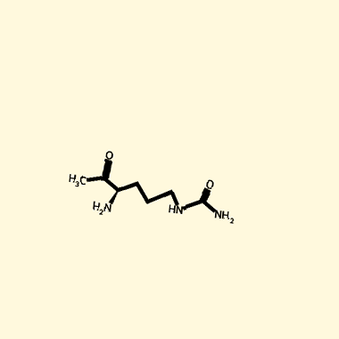 CC(=O)[C@H](N)CCCNC(N)=O